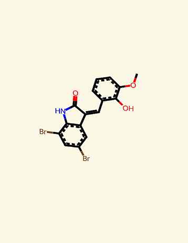 COc1cccc(C=C2C(=O)Nc3c(Br)cc(Br)cc32)c1O